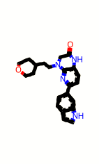 O=C1CN(CCC2CCOCC2)c2nc(-c3ccc4cc[nH]c4c3)ccc2N1